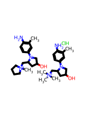 Cc1cc(N2CC(O)CC2C[N+](C)(C)C)ccc1N.Cc1cc(N2CC(O)CC2C[N+]2(C)CCCC2)ccc1N.Cl